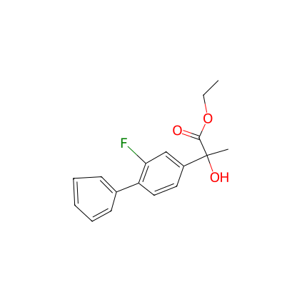 CCOC(=O)C(C)(O)c1ccc(-c2ccccc2)c(F)c1